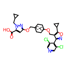 O=C(O)c1cc(OCC23CCC(OCc4c(-c5c(Cl)cncc5Cl)noc4C4CC4)(CC2)CC3)nn1CC1CC1